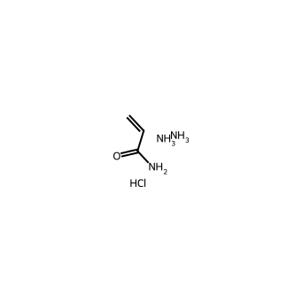 C=CC(N)=O.Cl.N.N